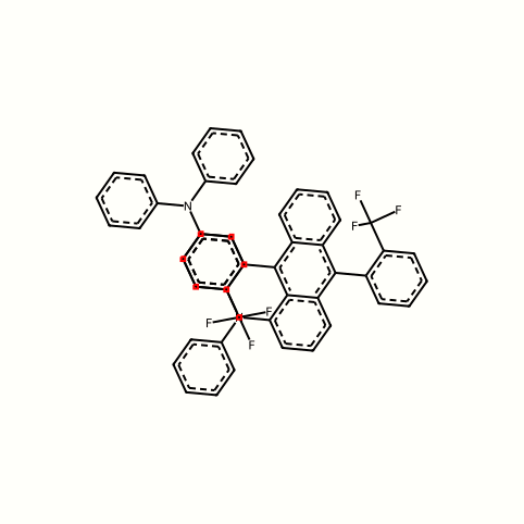 FC(F)(F)c1ccccc1-c1c2ccccc2c(-c2ccccc2C(F)(F)F)c2c(N(c3ccccc3)c3ccc(N(c4ccccc4)c4ccccc4)cc3)cccc12